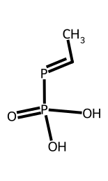 CC=PP(=O)(O)O